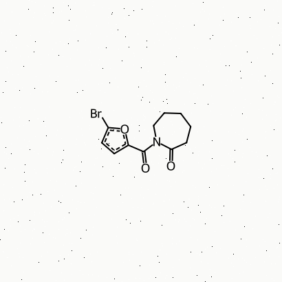 O=C1CCCCCN1C(=O)c1ccc(Br)o1